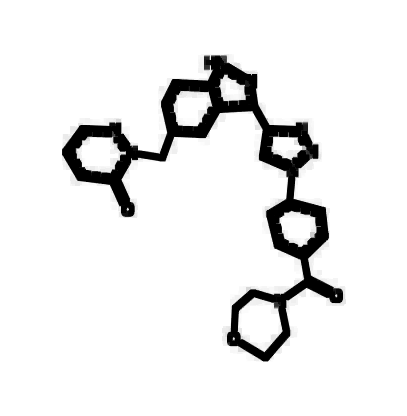 O=C(c1ccc(-n2cc(-c3n[nH]c4ccc(Cn5ncccc5=O)cc34)nn2)cc1)N1CCOCC1